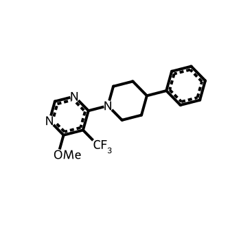 COc1ncnc(N2CCC(c3ccccc3)CC2)c1C(F)(F)F